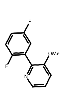 COc1cccnc1-c1cc(F)ccc1F